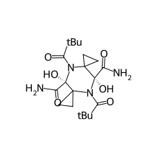 CC(C)(C)C(=O)N1C2(CC2)[C@@](O)(C(N)=O)N(C(=O)C(C)(C)C)C2(CC2)[C@@]1(O)C(N)=O